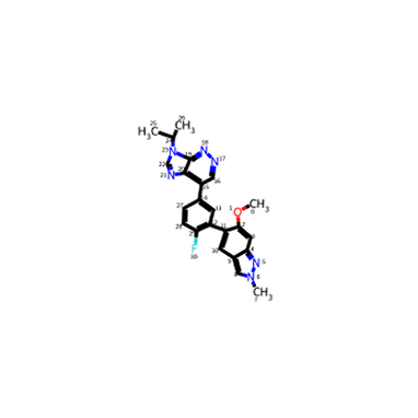 COc1cc2nn(C)cc2cc1-c1cc(-c2cnnc3c2ncn3C(C)C)ccc1F